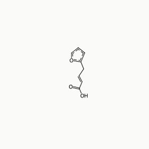 O=C(O)C=CCc1ccco1